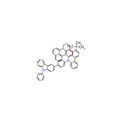 CC(C)(C)c1ccc(-c2ccccc2N(c2ccc(-c3ccc4c(c3)c3ccccc3n4-c3ccccc3)cc2)c2ccccc2-c2cccc3cccc(C4CCCCC4)c23)cc1